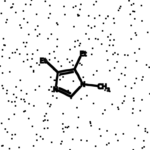 CCc1n[c]n(C)c1CC